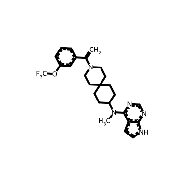 C=C(c1cccc(OC(F)(F)F)c1)N1CCC2(CCC(N(C)c3ncnc4[nH]ccc34)CC2)CC1